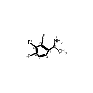 C[C@H](N)c1ccc(F)c(F)c1F